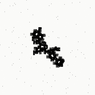 CC(=O)c1cn(CC(=O)N2C[C@H](F)C[C@H]2C(=O)NC2CCc3c(F)ccc(F)c32)c2ccc(-c3ccnnc3)cc12